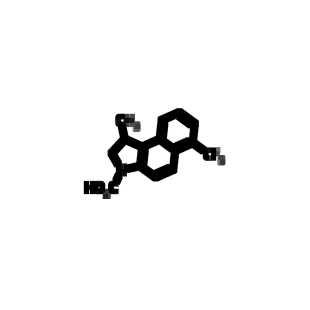 CC1CN(C(=O)O)c2ccc3c(C(F)(F)F)cccc3c21